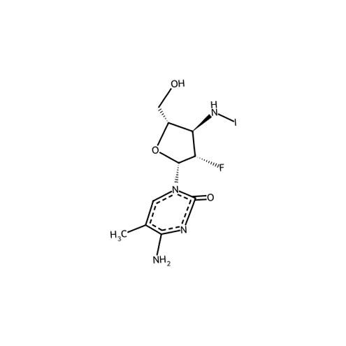 Cc1cn([C@@H]2O[C@H](CO)[C@@H](NI)[C@@H]2F)c(=O)nc1N